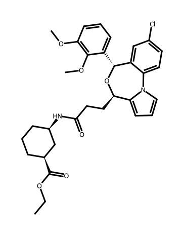 CCOC(=O)[C@H]1CCC[C@@H](NC(=O)CC[C@H]2O[C@H](c3cccc(OC)c3OC)c3cc(Cl)ccc3-n3cccc32)C1